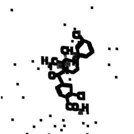 C[C@H]1[C@H](C)N(c2cccc(Cl)c2)CCN1C(=O)c1ccc(C(=O)O)c(Cl)c1